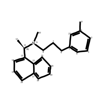 Cc1cccc(CCCN(C)[C@H](C)c2cccc3ccccc23)c1